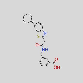 O=C(Cc1nc2ccc(C3CCCCC3)cc2s1)NCc1cccc(C(=O)O)c1